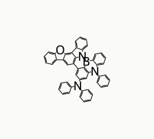 c1ccc(N(c2ccccc2)c2cc3c4c(c2)N(c2ccccc2)c2ccccc2B4n2c4ccccc4c4c5oc6ccccc6c5cc-3c42)cc1